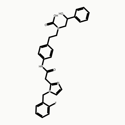 O=C(Cc1nccn1Cc1ccccc1F)Nc1ccc(CCN(CC(O)c2ccccc2)C(=O)O)cc1